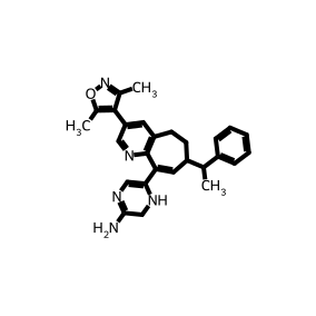 Cc1noc(C)c1-c1cnc2c(c1)CCC(C(C)c1ccccc1)C=C2C1=CN=C(N)CN1